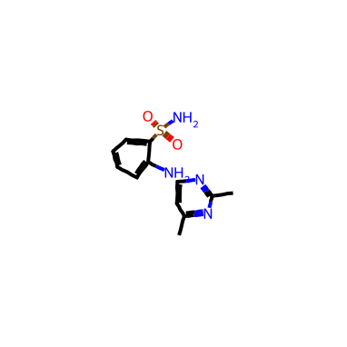 Cc1ccnc(C)n1.Nc1ccccc1S(N)(=O)=O